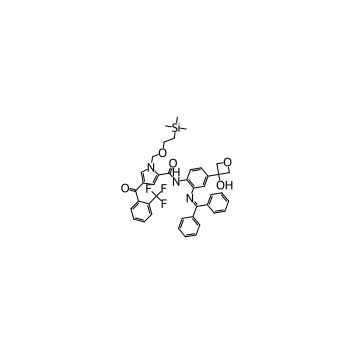 C[Si](C)(C)CCOCn1cc(C(=O)c2ccccc2C(F)(F)F)cc1C(=O)Nc1ccc(C2(O)COC2)cc1N=C(c1ccccc1)c1ccccc1